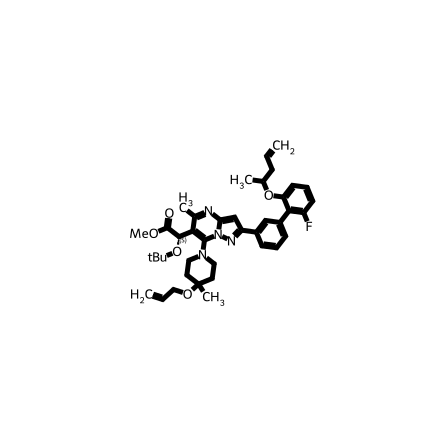 C=CCOC1(C)CCN(c2c([C@H](OC(C)(C)C)C(=O)OC)c(C)nc3cc(-c4cccc(-c5c(F)cccc5OC(C)CC=C)c4)nn23)CC1